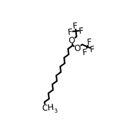 CCCCCCCCCCCCCCC(OCC(F)(F)F)OCC(F)(F)F